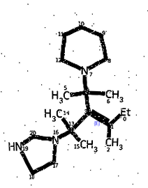 CC/C(C)=C(\C(C)(C)N1CCCCC1)C(C)(C)N1CCNC1